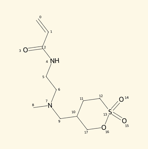 C=CC(=O)NCCN(C)CC1CCS(=O)(=O)OC1